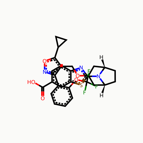 O=C(O)c1ccc2nc(N3[C@@H]4CC[C@H]3CC(OCc3c(-c5ccccc5OC(F)(F)F)noc3C3CC3)C4)sc2c1